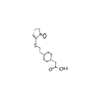 O=C(O)Cc1ccc(CCSC2=CCCC2=O)cc1